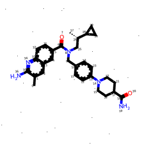 Cc1cc2cc(C(=O)N(Cc3ccc(N4CCC(C(N)=O)CC4)cc3)C[C@H](C)C3CC3)ccc2nc1N